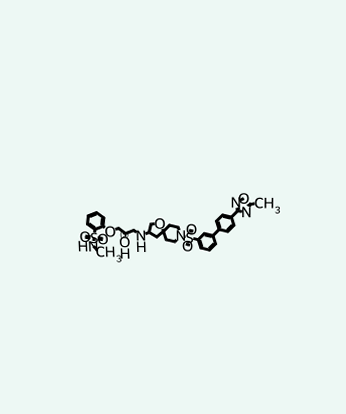 CNS(=O)(=O)c1ccccc1OC[C@@H](O)CNC1COC2(CCN(S(=O)(=O)c3cccc(-c4ccc(-c5noc(C)n5)cc4)c3)CC2)C1